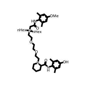 CCCCCC[N+](CCCCCC)(CCOCCOCCN1CCCCC1C(=O)Nc1c(C)cc(O)cc1C)CC(=O)Nc1c(C)cc(OC)cc1C